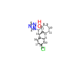 OC1(Cn2cncn2)CCCCCC1=Cc1ccc(Cl)cc1